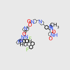 C#Cc1c(F)ccc2cccc(-c3ccc4c(N5CC6CCC(C5)N6C(=O)O)nc(OC[C@@]56CCCN5[C@H](COC(=O)N5CCC(CN7CCC(c8ccc9c(C%10CCC(=O)NC%10=O)nn(C)c9c8)CC7)CC5)CC6)nc4c3F)c12